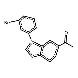 CC(=O)c1ccc2ncn(-c3cccc(Br)c3)c2c1